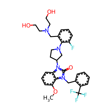 COc1cccc2c1n(Cc1ccccc1C(F)(F)F)c(=O)n2C1CCN(c2c(F)cccc2CN(CCO)CCO)C1